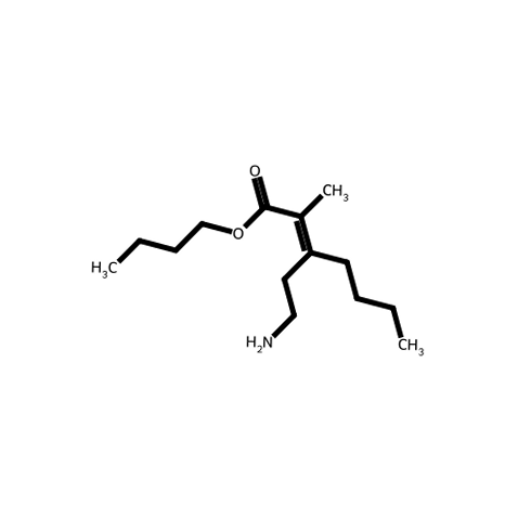 CCCCOC(=O)C(C)=C(CCN)CCCC